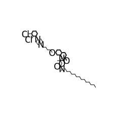 CCCCCCCCCCCCCCN(C)C(=O)OC(C)n1c(=O)ccc2ccc(OCCCCN3CCN(c4cccc(Cl)c4Cl)CC3)cc21